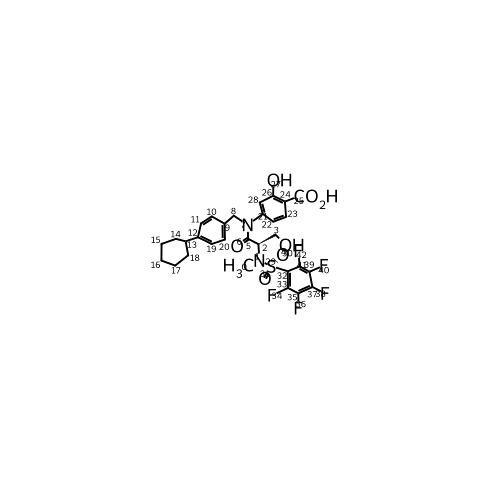 CN([C@H](CO)C(=O)N(Cc1ccc(C2CCCCC2)cc1)c1ccc(C(=O)O)c(O)c1)S(=O)(=O)c1c(F)c(F)c(F)c(F)c1F